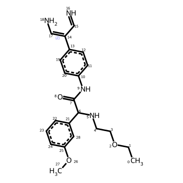 CCOCCNC(C(=O)Nc1ccc(/C(C=N)=C/N)cc1)c1cccc(OC)c1